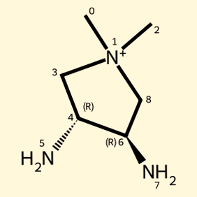 C[N+]1(C)C[C@@H](N)[C@H](N)C1